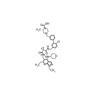 CCc1nc2c(cnn2CC)c(NC2CCOCC2)c1CNC(=O)C1(C(=O)NCc2ccc(Cl)c(-c3cccc(CN4CCN(C(=O)O)[C@@H](C)C4)c3)c2)CC1